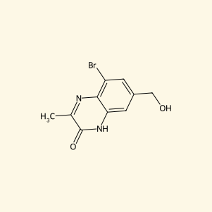 Cc1nc2c(Br)cc(CO)cc2[nH]c1=O